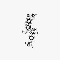 CNCc1ccc(C(=N)OC(=N)c2nc(-c3ccc([S+]([O-])N4CCC4)cc3)cnc2C)cc1